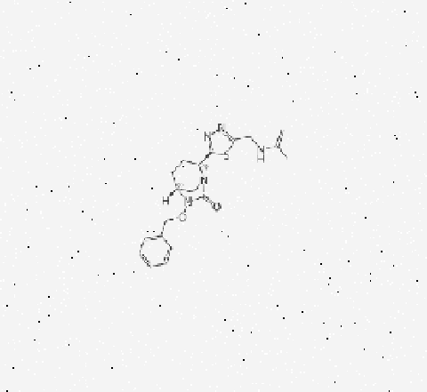 C=C(C)NCc1nnc([C@@H]2CC[C@@H]3CN2C(=O)N3OCc2ccccc2)s1